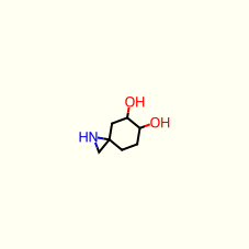 OC1CCC2(CN2)CC1O